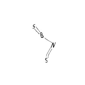 S=BN=S